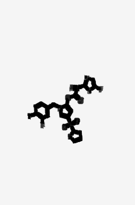 O=C(Nc1ncc(F)s1)Oc1cc(S(=O)(=O)c2cccs2)cn1Cc1ccc(F)c(F)c1